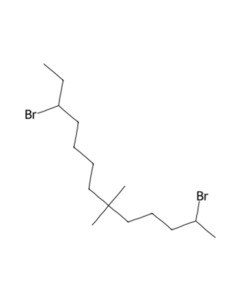 CCC(Br)CCCCC(C)(C)CCCC(C)Br